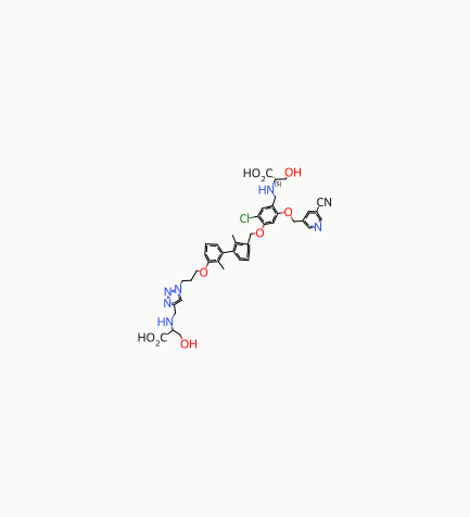 Cc1c(COc2cc(OCc3cncc(C#N)c3)c(CN[C@@H](CO)C(=O)O)cc2Cl)cccc1-c1cccc(OCCCn2cc(CNC(CO)C(=O)O)nn2)c1C